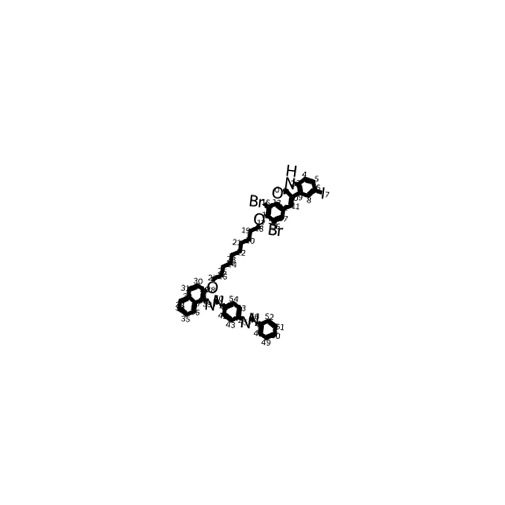 O=C1Nc2ccc(I)cc2/C1=C/c1cc(Br)c(OCCCCCCCCCCOc2ccc3ccccc3c2/N=N/c2ccc(/N=N/c3ccccc3)cc2)c(Br)c1